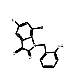 O=C1C(=O)N(Cc2ccccc2[N+](=O)[O-])c2c(Br)cc(Br)cc21